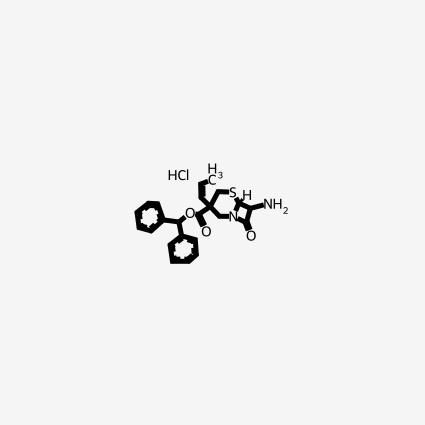 C/C=C\C1(C(=O)OC(c2ccccc2)c2ccccc2)CS[C@@H]2C(N)C(=O)N2C1.Cl